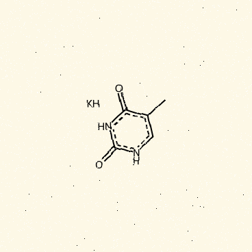 Cc1c[nH]c(=O)[nH]c1=O.[KH]